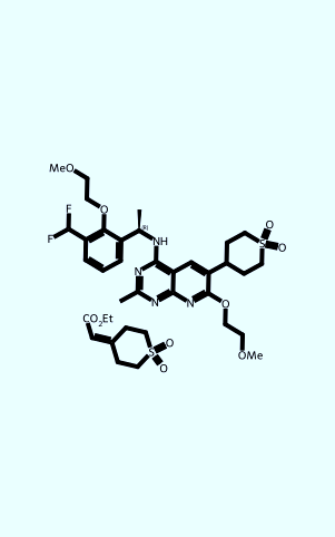 CCOC(=O)C=C1CCS(=O)(=O)CC1.COCCOc1nc2nc(C)nc(N[C@H](C)c3cccc(C(F)F)c3OCCOC)c2cc1C1CCS(=O)(=O)CC1